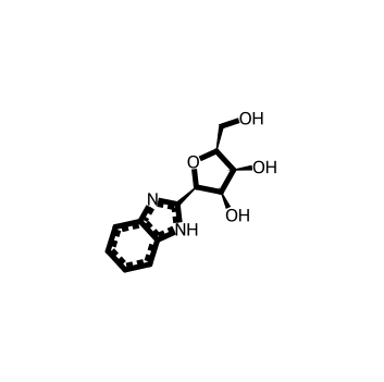 OC[C@@H]1O[C@H](c2nc3ccccc3[nH]2)[C@H](O)[C@@H]1O